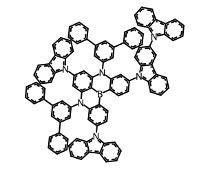 c1ccc(-c2cc(-c3ccccc3)cc(N3c4cc(-n5c6ccccc6c6ccccc65)ccc4B4c5ccc(-n6c7ccccc7c7cc(-n8c9ccccc9c9ccccc98)ccc76)cc5N(c5cc(-c6ccccc6)cc(-c6ccccc6)c5)c5cc(-n6c7ccccc7c7ccccc76)cc3c54)c2)cc1